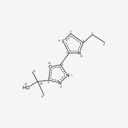 CCc1csc(-c2nnc(C(C)(C)O)o2)n1